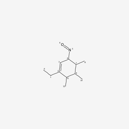 CCC1=CC(N=O)C(C)C(C)C1C